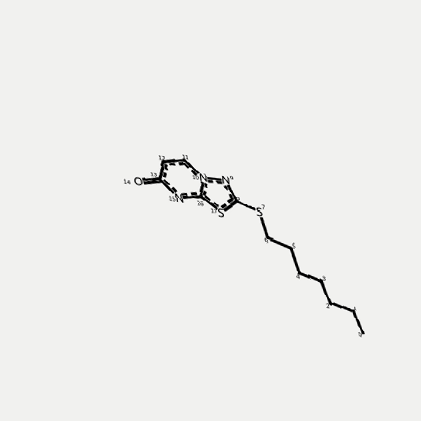 CCCCCCCSc1nn2ccc(=O)nc2s1